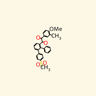 COc1ccc(C(=O)C(=O)c2cccc(-c3ccc(S(C)(=O)=O)cc3)c2-c2ccccc2)cc1C